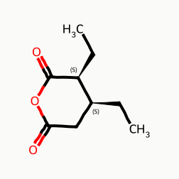 CC[C@H]1CC(=O)OC(=O)[C@H]1CC